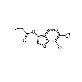 CCC(=O)Oc1coc2c(Cl)c(Cl)ccc12